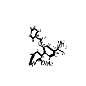 COc1ncccc1-c1ccc(C(C)N)cc1OCc1ccccc1